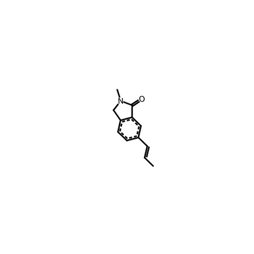 C/C=C/c1ccc2c(c1)C(=O)N(C)C2